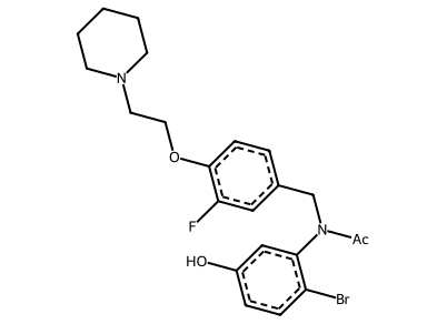 CC(=O)N(Cc1ccc(OCCN2CCCCC2)c(F)c1)c1cc(O)ccc1Br